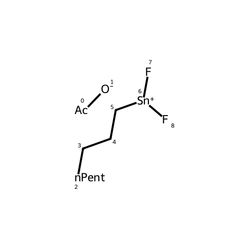 CC(=O)[O-].CCCCCCC[CH2][Sn+]([F])[F]